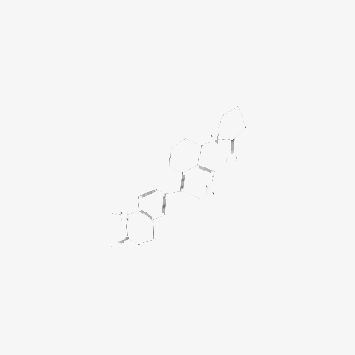 CN1C(=O)CCc2cc(-c3cncc4c3CCCC4N3CCCC3=O)ccc21